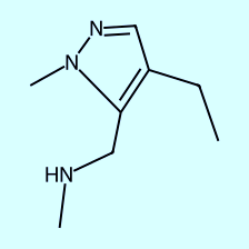 CCc1cnn(C)c1CNC